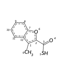 Cc1c(C(=O)S)oc2ccccc12